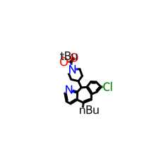 CCCCC1=Cc2cc(Cl)ccc2C(C2CCN(C(=O)OC(C)(C)C)CC2)c2ncccc21